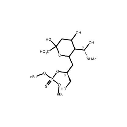 CCCCOP(=S)(OCCCC)O[C@H](CO)CC1OC(O)(C(=O)O)CC(O)C1[C@H](O)NC(C)=O